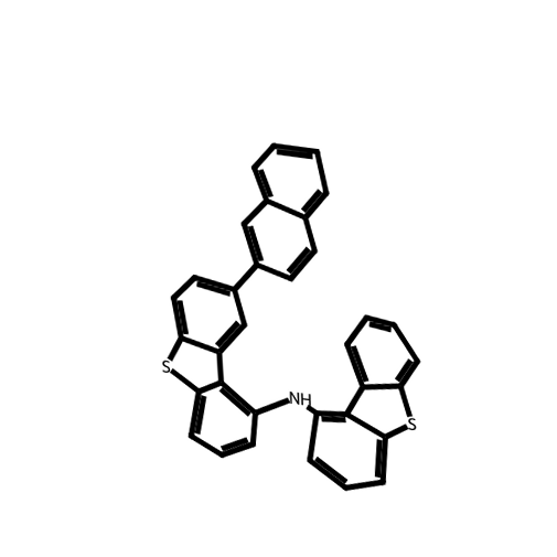 c1ccc2cc(-c3ccc4sc5cccc(Nc6cccc7sc8ccccc8c67)c5c4c3)ccc2c1